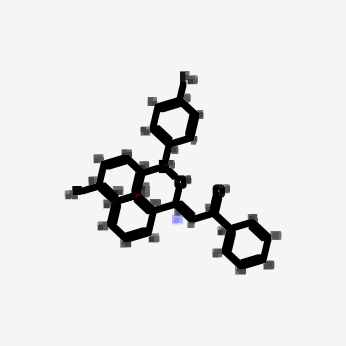 O=C(/C=C(\OB(c1ccc(F)cc1)c1ccc(F)cc1)c1ccccc1)c1ccccc1